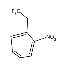 O=[N+]([O-])c1ccccc1CC(F)(F)F